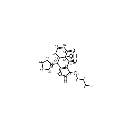 CCCCOC1NOC2=C1C(=O)[C@@]1(O)C(=O)C=CCC1[C@@H]2N1CCCC1